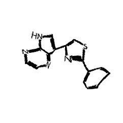 c1ccc(-c2nc(-c3c[nH]c4nccnc34)cs2)cc1